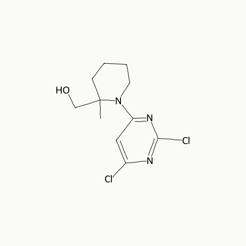 CC1(CO)CCCCN1c1cc(Cl)nc(Cl)n1